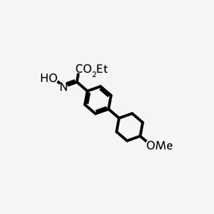 CCOC(=O)/C(=N\O)c1ccc(C2CCC(OC)CC2)cc1